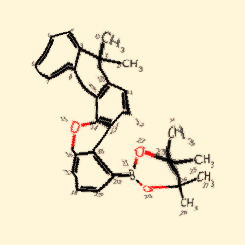 CC1(C)c2ccccc2-c2c1ccc1c2oc2cccc(B3OC(C)(C)C(C)(C)O3)c21